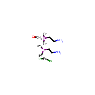 C=O.CC(C)P(CCN)C(C)C.CC(C)P(CCN)C(C)C.[Br][Fe][Br]